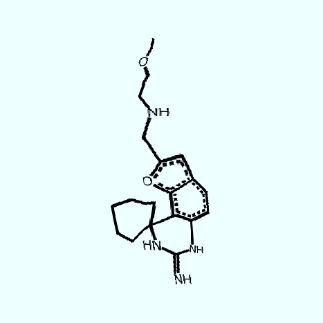 COCCNCc1cc2ccc3c(c2o1)C1(CCCCC1)NC(=N)N3